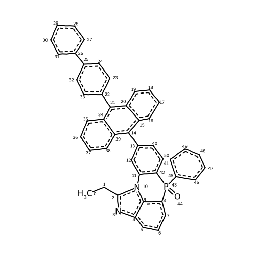 CCc1nc2cccc3c2n1-c1cc(-c2c4ccccc4c(-c4ccc(-c5ccccc5)cc4)c4ccccc24)ccc1P3(=O)c1ccccc1